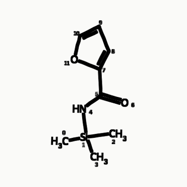 C[Si](C)(C)NC(=O)c1ccco1